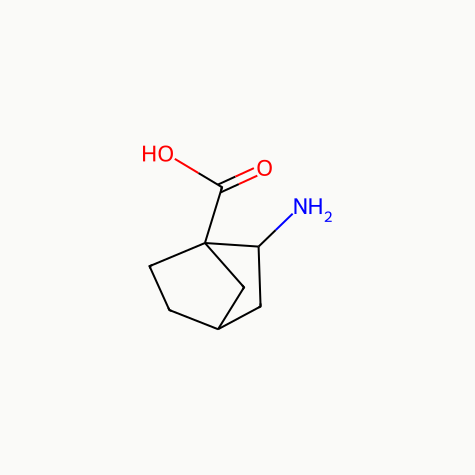 NC1CC2CCC1(C(=O)O)C2